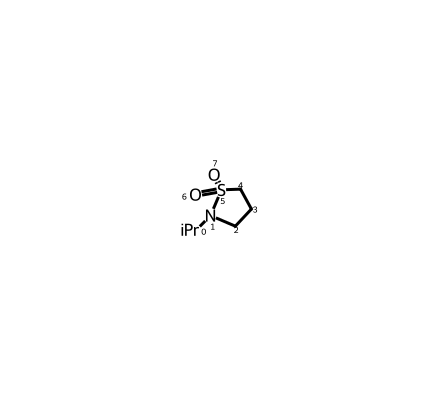 CC(C)N1CCCS1(=O)=O